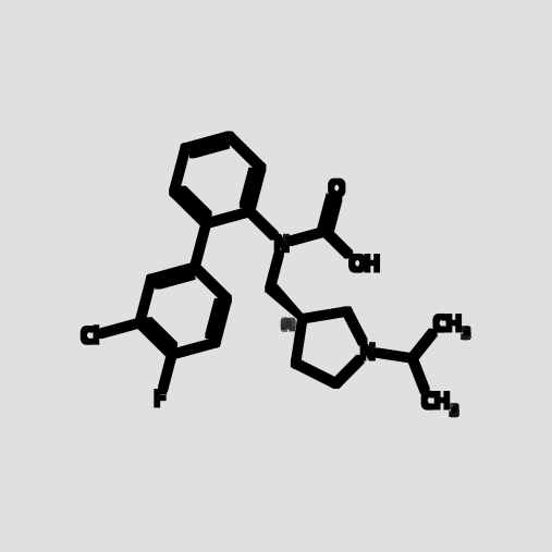 CC(C)N1CC[C@@H](CN(C(=O)O)c2ccccc2-c2ccc(F)c(Cl)c2)C1